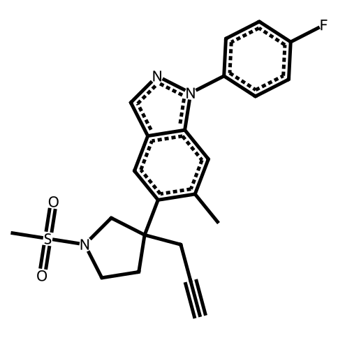 C#CCC1(c2cc3cnn(-c4ccc(F)cc4)c3cc2C)CCN(S(C)(=O)=O)C1